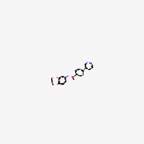 O=C(Nc1ccc2c(c1)OCCO2)c1ccc(-c2cccnc2)cc1